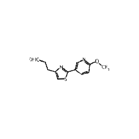 O=CCCc1csc(-c2ccc(OC(F)(F)F)nc2)n1